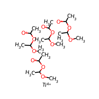 COC(C)OC(C)[O-].COC(C)OC(C)[O-].COC(C)OC(C)[O-].COC(C)OC(C)[O-].[Ti+4]